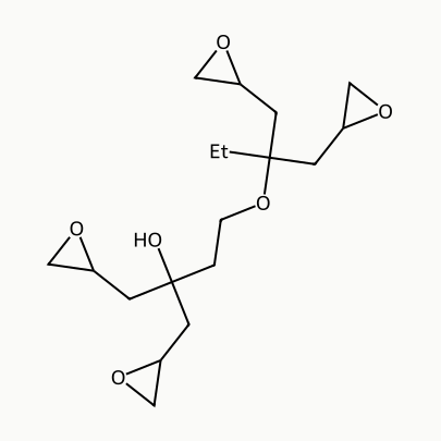 CCC(CC1CO1)(CC1CO1)OCCC(O)(CC1CO1)CC1CO1